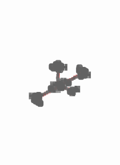 CC(=O)NC1C(OCCCCCCCCCCCC(=O)NCCCCC(NC(=O)CCCCCCCCCCCOC2OC(COC(C)O)C(OC(C)=O)C(OC(C)=O)C2NC(C)=O)C(=O)NC(CCCCNC(=O)CCCCCCCCCCCOC2OC(COC(C)=O)C(OC(C)=O)C(OC(C)=O)C2NC(C)=O)C(=O)NCCCCCCOP(OCCC#N)N(C(C)C)C(C)C)OC(COC(C)=O)C(OC(C)=O)C1OC(C)=O